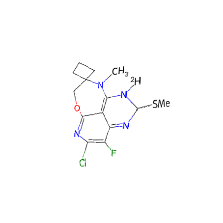 [2H]N1C2=c3c(nc(Cl)c(F)c3=NC1SC)OCC1(CCC1)N2C